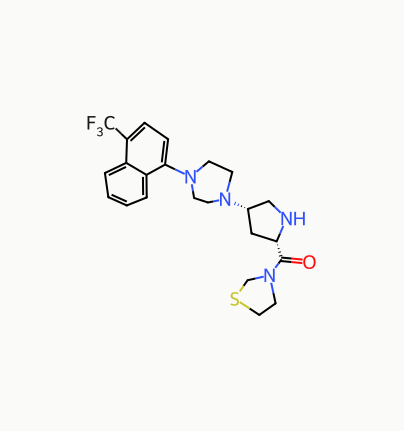 O=C([C@@H]1C[C@H](N2CCN(c3ccc(C(F)(F)F)c4ccccc34)CC2)CN1)N1CCSC1